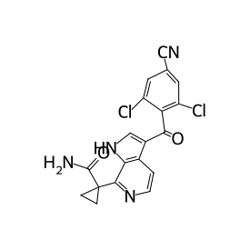 N#Cc1cc(Cl)c(C(=O)c2c[nH]c3c(C4(C(N)=O)CC4)nccc23)c(Cl)c1